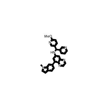 COc1ccc(C(Nc2cc(-c3ccc4ccn(C)c4c3)c3nccnc3c2)c2cccnc2)cn1